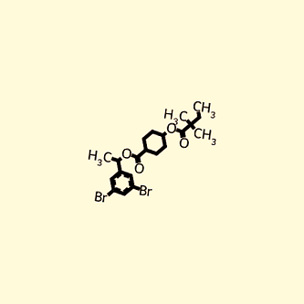 CCC(C)(C)C(=O)OC1CCC(C(=O)OC(C)c2cc(Br)cc(Br)c2)CC1